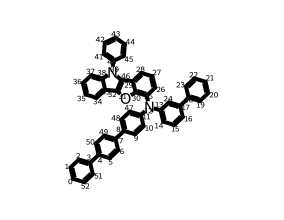 c1ccc(-c2ccc(-c3ccc(N(c4cccc(-c5ccccc5)c4)c4cccc5c4oc4c6ccccc6n(-c6ccccc6)c54)cc3)cc2)cc1